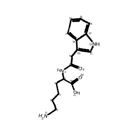 NCCCCC(NC(=O)Cc1c[nH]c2ccccc12)C(=O)O